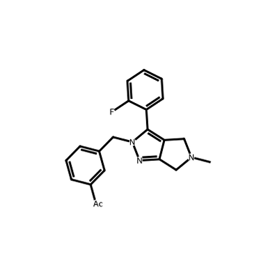 CC(=O)c1cccc(Cn2nc3c(c2-c2ccccc2F)CN(C)C3)c1